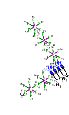 CC#[NH+].CC#[NH+].CC#[NH+].CC#[NH+].F[P-](F)(F)(F)(F)F.F[P-](F)(F)(F)(F)F.F[P-](F)(F)(F)(F)F.F[P-](F)(F)(F)(F)F.F[P-](F)(F)(F)(F)F.[Cu+]